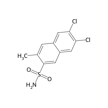 Cc1cc2cc(Cl)c(Cl)cc2cc1S(N)(=O)=O